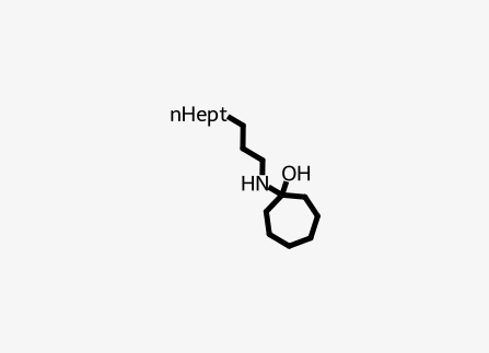 CCCCCCCCCCNC1(O)CCCCCC1